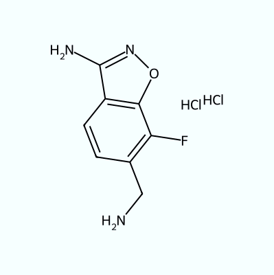 Cl.Cl.NCc1ccc2c(N)noc2c1F